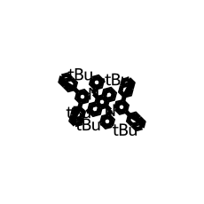 CC(C)(C)c1cc(N(c2cc(C34CC5CC(CC(C5)C3)C4)cc(C34CC5CC(CC(C5)C3)C4)c2)c2c3ccccc3c(N(c3cc(C(C)(C)C)cc(C(C)(C)C)c3)c3cc(C45CC6CC(CC(C6)C4)C5)cc(C45CC6CC(CC(C6)C4)C5)c3)c3cc(C(C)(C)C)ccc23)cc(C(C)(C)C)c1